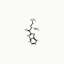 CCC[C@H](N)C(=O)c1nc2ccccc2o1